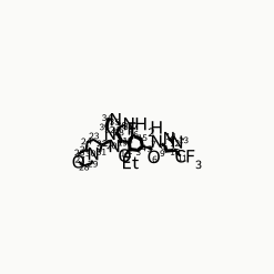 CCOc1cc(C(=O)Nc2cc(C(F)(F)F)n(C)n2)cc(F)c1-c1nc(C2CCC3COCCN3C2)n2ccnc(N)c12